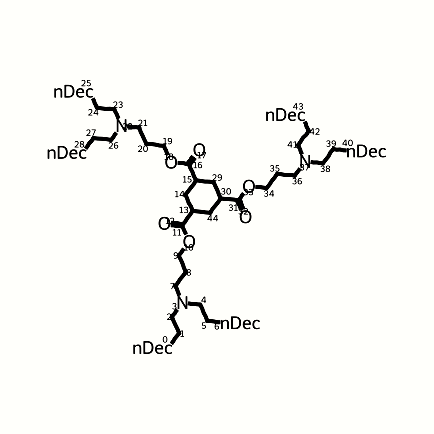 CCCCCCCCCCCCN(CCCCCCCCCCCC)CCCOC(=O)C1CC(C(=O)OCCCN(CCCCCCCCCCCC)CCCCCCCCCCCC)CC(C(=O)OCCCN(CCCCCCCCCCCC)CCCCCCCCCCCC)C1